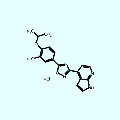 CC(Oc1ccc(-c2nc(-c3ccnc4[nH]ccc34)no2)cc1C(F)(F)F)C(F)(F)F.Cl